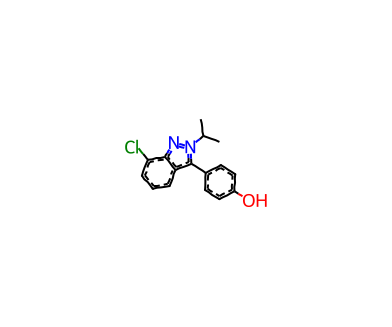 CC(C)n1nc2c(Cl)cccc2c1-c1ccc(O)cc1